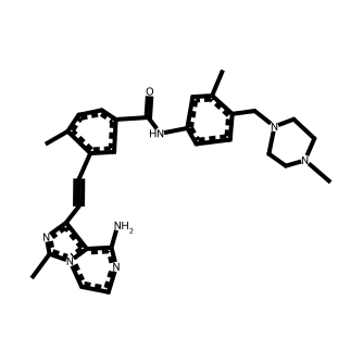 Cc1ccc(C(=O)Nc2ccc(CN3CCN(C)CC3)c(C)c2)cc1C#Cc1nc(C)n2ccnc(N)c12